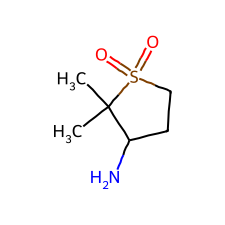 CC1(C)C(N)CCS1(=O)=O